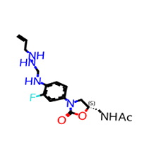 C=CCNNCNc1ccc(N2C[C@H](CNC(C)=O)OC2=O)cc1F